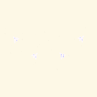 c1ccc(N(c2ccccc2)c2ccc(-c3ccc4c(c3)C(c3ccc(N(c5ccccc5)c5ccccc5)cc3)(c3ccc(N(c5ccccc5)c5ccccc5)cc3)c3cc(-c5ccc(N(c6ccccc6)c6ccccc6)cc5)ccc3-4)cc2)cc1